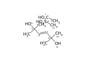 CC(=O)O.CC(C)(O)C=CC(C)(C)O.CS(=O)(=O)O